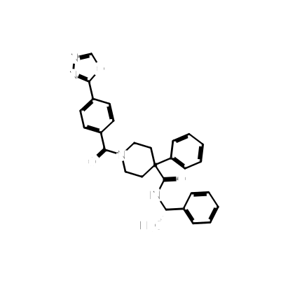 C[C@H](NC(=O)C1(c2ccccc2)CCN(C(=O)c2ccc(-c3nnco3)cc2)CC1)c1ccccc1